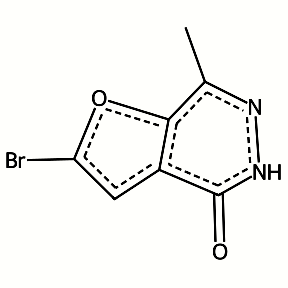 Cc1n[nH]c(=O)c2cc(Br)oc12